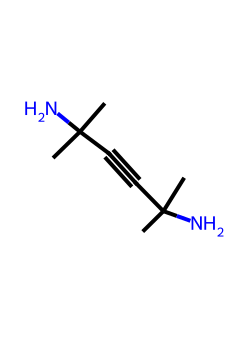 CC(C)(N)C#CC(C)(C)N